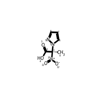 C[C@](C(=O)O)(n1cccn1)[N+](=O)[O-]